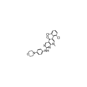 Cn1cc(-c2c(Cl)cccc2Cl)c(=O)c2cnc(Nc3ccc(N4CCOCC4)cc3)nc21